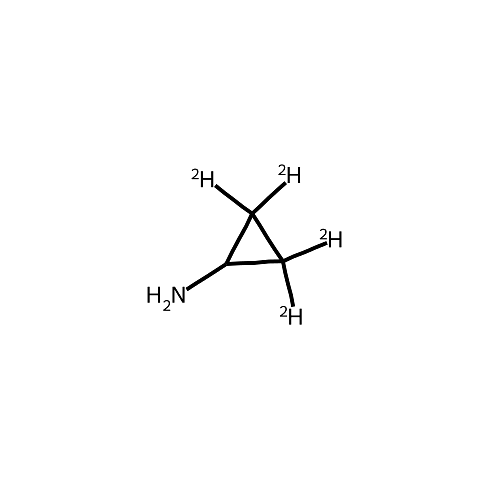 [2H]C1([2H])C(N)C1([2H])[2H]